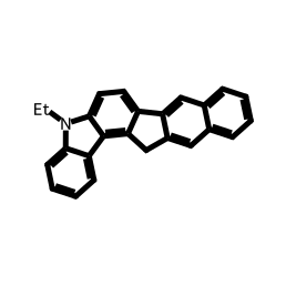 CCn1c2ccccc2c2c3c(ccc21)-c1cc2ccccc2cc1C3